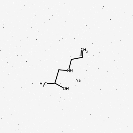 C=CCNCC(C)O.[Na]